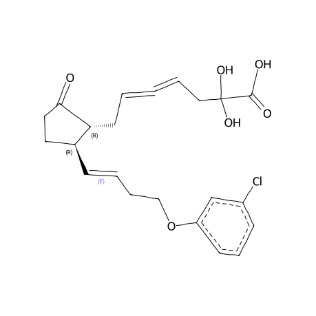 O=C1CC[C@H](/C=C/CCOc2cccc(Cl)c2)[C@H]1CC=C=CCC(O)(O)C(=O)O